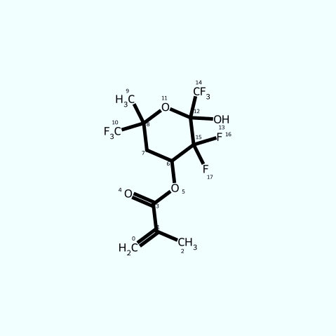 C=C(C)C(=O)OC1CC(C)(C(F)(F)F)OC(O)(C(F)(F)F)C1(F)F